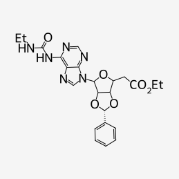 CCNC(=O)Nc1ncnc2c1ncn2C1OC(CC(=O)OCC)C2O[C@H](c3ccccc3)OC21